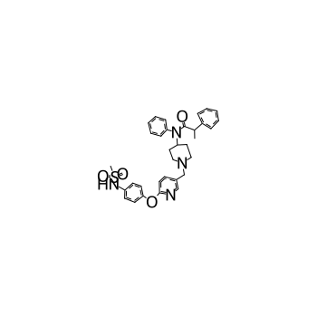 CC(C(=O)N(c1ccccc1)C1CCN(Cc2ccc(Oc3ccc(NS(C)(=O)=O)cc3)nc2)CC1)c1ccccc1